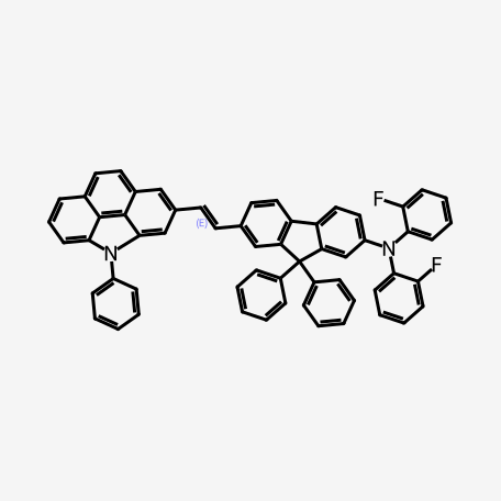 Fc1ccccc1N(c1ccc2c(c1)C(c1ccccc1)(c1ccccc1)c1cc(/C=C/c3cc4ccc5cccc6c5c4c(c3)n6-c3ccccc3)ccc1-2)c1ccccc1F